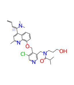 C=C/C=C(/c1cc(C)nc2c(OCc3c(Cl)cncc3CN(CCCO)C(=O)C(C)C)cccc12)N(C)C